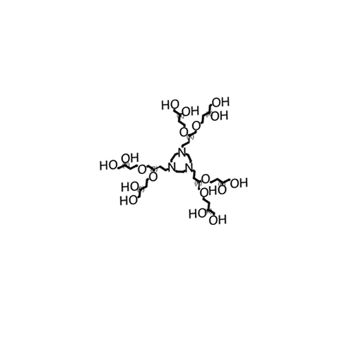 OC[C@H](O)CCOC[C@@H](CCN1CCN(CC[C@H](COCC[C@@H](O)CO)OCC[C@@H](O)CO)CCN(CC[C@H](COCC[C@@H](O)CO)OCC[C@@H](O)CO)CC1)OCC[C@@H](O)CO